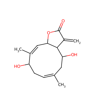 C=C1C(=O)OC2/C=C(/C)C(O)C/C=C(/C)CC(O)C12